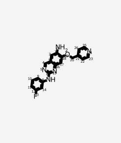 Nc1cc2cnc(Nc3cccc(F)c3)nc2cc1OCc1ccncc1